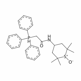 CC1(C)CC(NC(=O)C[PH](c2ccccc2)(c2ccccc2)c2ccccc2)CC(C)(C)[S+]1[O-]